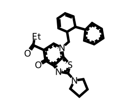 CCC(=O)c1cn(CC2C=CC=CC2c2ccccc2)c2sc(N3CCCC3)nc2c1=O